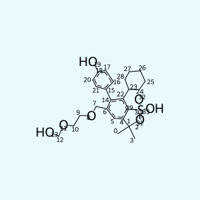 CC(C)(C)c1cc(COCCOCO)c(-c2ccc(O)cc2)c(C2CCCCC2)c1S(=O)(=O)O